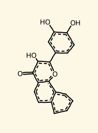 O=c1c(O)c(-c2ccc(O)c(O)c2)oc2c1ccc1ccccc12